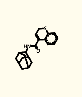 O=C(NC1C2CC3CC(C2)CC1C3)C1=CCSc2ccccc21